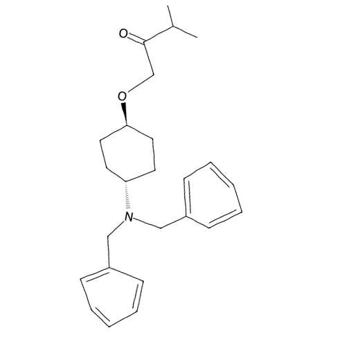 CC(C)C(=O)CO[C@H]1CC[C@H](N(Cc2ccccc2)Cc2ccccc2)CC1